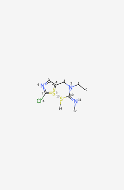 CCN(Cc1cnc(Cl)s1)C(=NC)SC